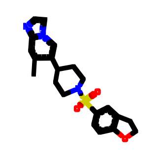 Cc1cc2nccn2cc1C1CCN(S(=O)(=O)c2ccc3c(c2)CCO3)CC1